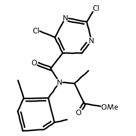 COC(=O)C(C)N(C(=O)c1cnc(Cl)nc1Cl)c1c(C)cccc1C